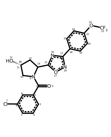 O=C(c1cccc(Cl)c1)N1C[C@H](O)CC1c1nc(-c2ccc(OC(F)(F)F)cc2)no1